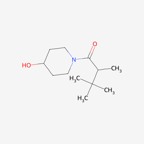 CC(C(=O)N1CCC(O)CC1)C(C)(C)C